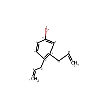 C=CCc1ccc(Br)cc1CC=C